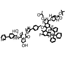 CO[C@@H](C)COc1nc(N2C[C@@H]3C[C@H]2CN3C(=O)OC(C)(C)C)c2cc(C(F)(F)F)c(-c3c(C)c(F)cc4nn(C(c5ccccc5)(c5ccccc5)c5ccccc5)cc34)c(OCc3ccc(-c4cn([C@H](C(=O)N5C[C@H](O)C[C@H]5C(=O)N[C@@H](CO)c5ccc(-c6cccnc6)cc5)C(C)C)nn4)cc3)c2n1